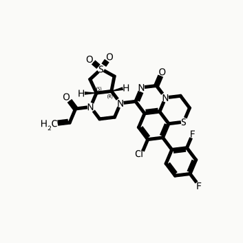 C=CC(=O)N1CCN(c2nc(=O)n3c4c(c(-c5ccc(F)cc5F)c(Cl)cc24)SCC3)[C@H]2CS(=O)(=O)C[C@H]21